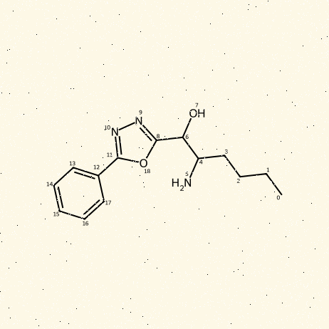 CCCCC(N)C(O)c1nnc(-c2ccccc2)o1